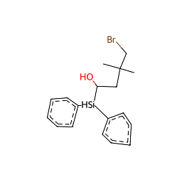 CC(C)(CBr)CC(O)[SiH](c1ccccc1)c1ccccc1